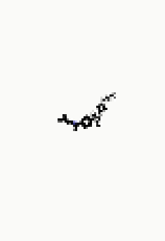 CC(C)=C/C=C(\C)c1ccc(S(=O)(=O)O[C@H]2C[C@@H](N=C=S)C2)cc1